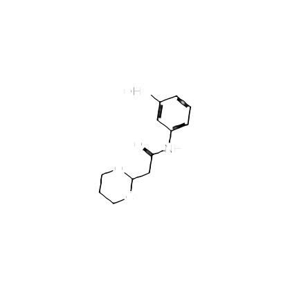 O=Cc1cccc(NC(=O)CC2OCCCO2)c1